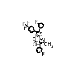 Cc1nn(-c2nc(-c3ccc(C(F)(F)F)cc3)c(-c3cccc(F)c3)s2)c(C(=O)O)c1-c1cccc(F)c1